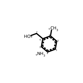 Cc1ccccc1CO.N